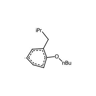 CCCCOc1cc[c]cc1CC(C)C